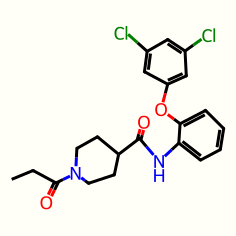 CCC(=O)N1CCC(C(=O)Nc2ccccc2Oc2cc(Cl)cc(Cl)c2)CC1